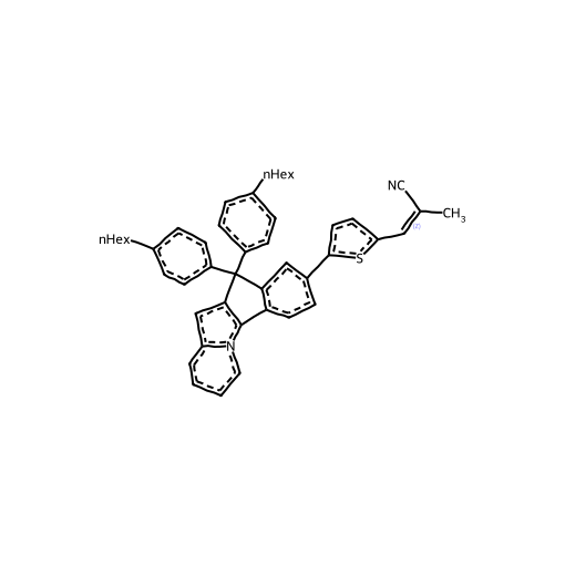 CCCCCCc1ccc(C2(c3ccc(CCCCCC)cc3)c3cc(-c4ccc(/C=C(/C)C#N)s4)ccc3-c3c2cc2ccccn32)cc1